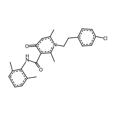 Cc1cccc(C)c1NC(=O)c1c(C)n(CCc2ccc(Cl)cc2)c(C)cc1=O